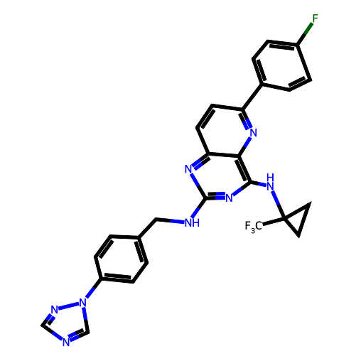 Fc1ccc(-c2ccc3nc(NCc4ccc(-n5cncn5)cc4)nc(NC4(C(F)(F)F)CC4)c3n2)cc1